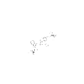 CCN(CC)C(=O)Cn1cc(CCN(CCO)C2CCc3cc(C=CC(=O)NO)ccc32)c2ccccc21